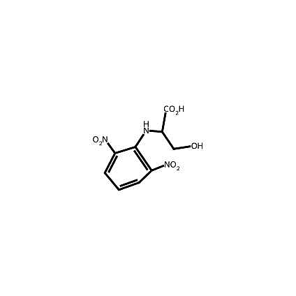 O=C(O)C(CO)Nc1c([N+](=O)[O-])cccc1[N+](=O)[O-]